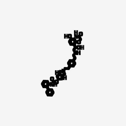 O=C1COc2c([C@@H](O)CNCCc3ccc(CCN4C[C@H]5C[C@H](OC(=O)Nc6ccccc6-c6ccccc6)C[C@H]5C4)cc3)ccc(O)c2N1